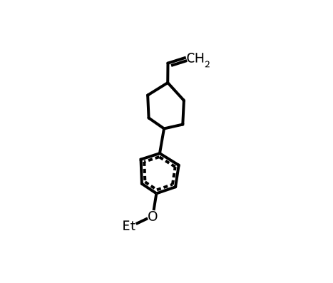 C=CC1CCC(c2ccc(OCC)cc2)CC1